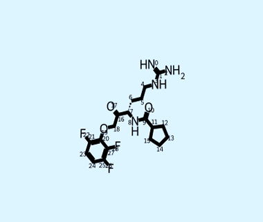 N=C(N)NCCC[C@H](NC(=O)C1CCCC1)C(=O)COc1c(F)ccc(F)c1F